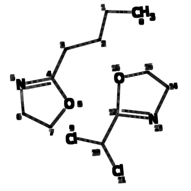 CCCCC1=NCCO1.ClC(Cl)C1=NCCO1